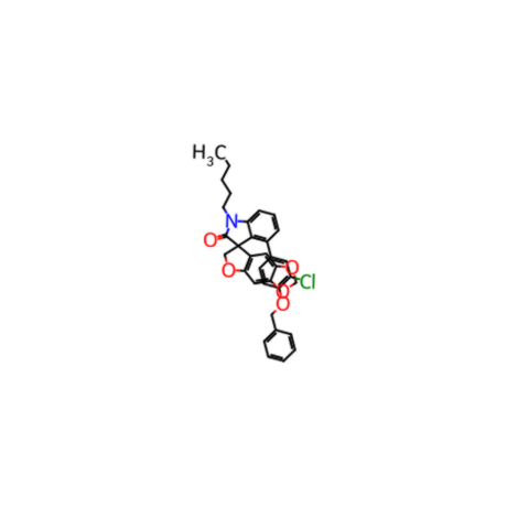 CCCCCN1C(=O)C2(COc3cc4c(cc32)OCO4)c2c(-c3ccc(OCc4ccccc4)c(Cl)c3)cccc21